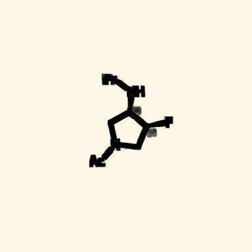 CC(=O)N1C[C@H](F)[C@H](NC(C)C)C1